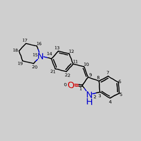 O=C1Nc2ccccc2C1=Cc1ccc(N2CCCCC2)cc1